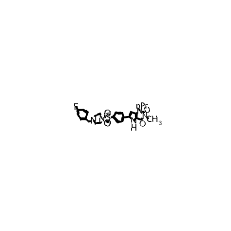 CCCn1c(=O)n(C)c(=O)c2[nH]c(-c3ccc(S(=O)(=O)N4CCN(Cc5ccc(F)cc5)CC4)cc3)cc21